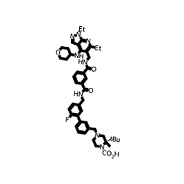 CCc1nc2c(cnn2CC)c(NC2CCOCC2)c1CNC(=O)c1cccc(C(=O)NCc2ccc(F)c(-c3cccc(CN4CCN(C(=O)O)[C@@](C)(C(C)(C)C)C4)c3)c2)c1